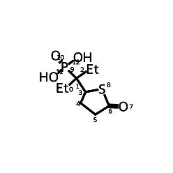 CCC(CC)(C1CCC(=O)S1)P(=O)(O)O